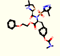 Cc1c[nH]nc1S(=O)(=O)N(C(=O)[C@H]1NC(C)(C)CS1)[C@@H](Cc1ccc(OC(=O)N(C)C)cc1)C(=O)OCCOc1ccccc1